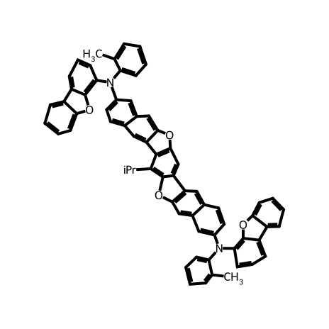 Cc1ccccc1N(c1ccc2cc3c(cc2c1)oc1c(C(C)C)c2c(cc13)oc1cc3cc(N(c4ccccc4C)c4cccc5c4oc4ccccc45)ccc3cc12)c1cccc2c1oc1ccccc12